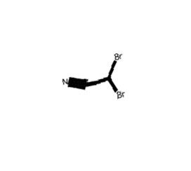 N#CC(Br)Br